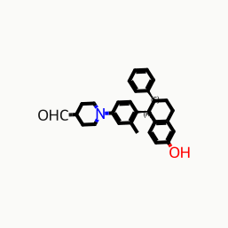 Cc1cc(N2CCC(C=O)CC2)ccc1[C@@H]1c2ccc(O)cc2CC[C@@H]1c1ccccc1